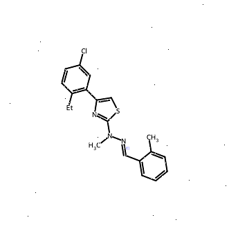 CCc1ccc(Cl)cc1-c1csc(N(C)/N=C/c2ccccc2C)n1